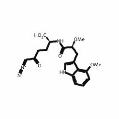 COc1cccc2[nH]cc(C[C@H](OC)C(=O)N[C@@H](CCC(=O)C=[N+]=[N-])C(=O)O)c12